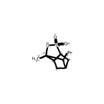 CC(C)C1C2CC3C(C2)S(=O)(=O)OC31C